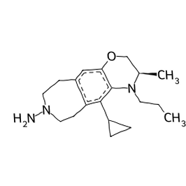 CCCN1c2c(cc3c(c2C2CC2)CCN(N)CC3)OC[C@H]1C